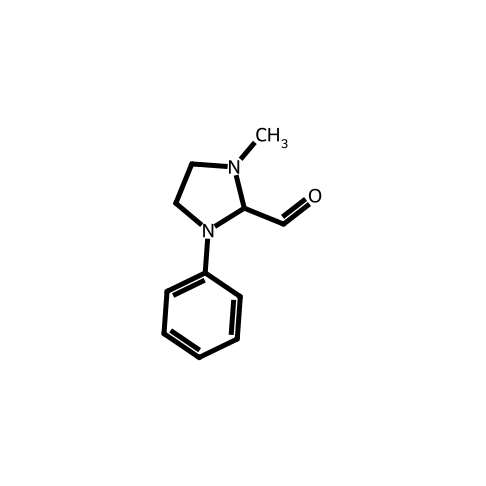 CN1CCN(c2ccccc2)C1C=O